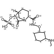 CNC1CCCC(ONC(=O)[C@@H]2CC[C@@H]3CN2C(=O)N3OS(=O)(=O)O)C1